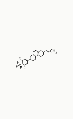 CC=CC1CCc2c(ccc3c2CCC(c2cc(F)c(C(F)(F)F)c(F)c2)C3)C1